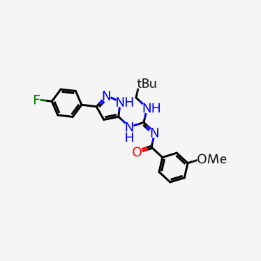 COc1cccc(C(=O)/N=C(/NCC(C)(C)C)Nc2cc(-c3ccc(F)cc3)n[nH]2)c1